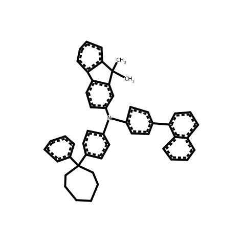 CC1(C)c2ccccc2-c2ccc(N(c3ccc(-c4cccc5ccccc45)cc3)c3ccc(C4(c5ccccc5)CCCCCC4)cc3)cc21